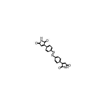 O=C1C=C(c2ccc(N=Nc3ccc(C4=CC(=O)NC4=O)cc3)cc2)C(=O)N1